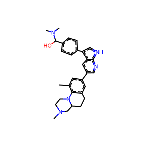 Cc1cc(-c2cnc3[nH]cc(-c4ccc(C(O)N(C)C)cc4)c3c2)cc2c1N1CCN(C)CC1CC2